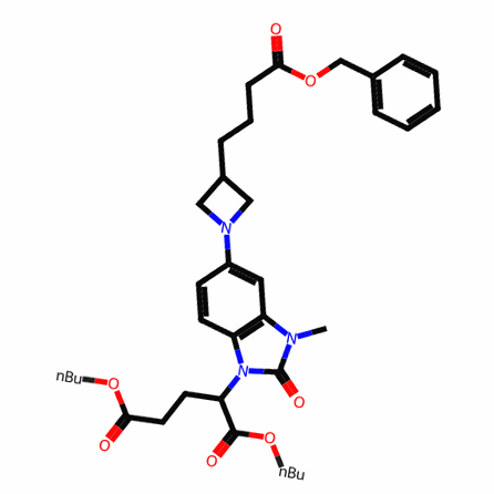 CCCCOC(=O)CCC(C(=O)OCCCC)n1c(=O)n(C)c2cc(N3CC(CCCC(=O)OCc4ccccc4)C3)ccc21